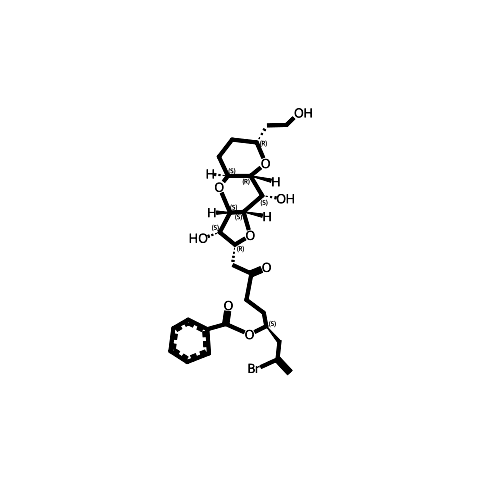 C=C(Br)C[C@H](CCC(=O)C[C@H]1O[C@H]2[C@@H](O)[C@H]3O[C@@H](CCO)CC[C@@H]3O[C@H]2[C@H]1O)OC(=O)c1ccccc1